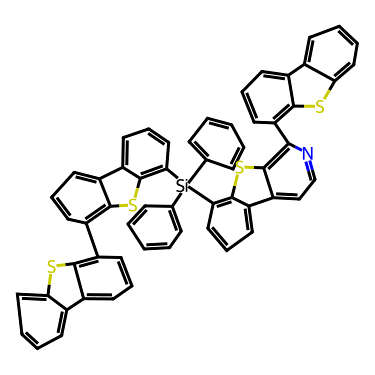 c1ccc([Si](c2ccccc2)(c2cccc3c2sc2c(-c4cccc5c4sc4ccccc45)cccc23)c2cccc3c2sc2c(-c4cccc5c4sc4ccccc45)nccc23)cc1